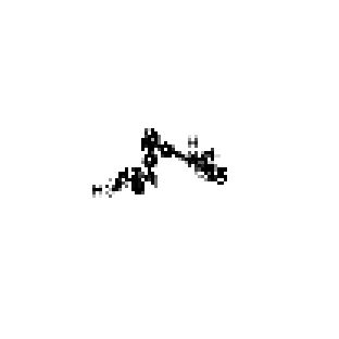 CC(=O)N[C@H](C(=O)N1CCCC1c1ncc(C#Cc2ccc(-c3c(-c4ccc(-c5cnc([C@@H]6CCCN6C(=O)[C@@H](NC(=O)CO)C(C)C)[nH]5)cc4)nc4sccn34)cc2)[nH]1)C(C)C